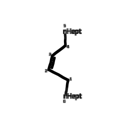 CCC[CH]CCCC/C=C\CCCCCCCC